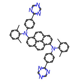 Cc1cccc(C)c1N(c1ccc(-c2ncncn2)cc1)c1ccc2ccc3c(N(c4ccc(-c5ncncn5)cc4)c4c(C)cccc4C)ccc4ccc1c2c43